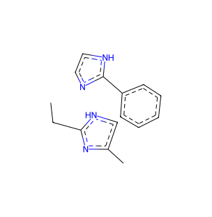 CCc1nc(C)c[nH]1.c1ccc(-c2ncc[nH]2)cc1